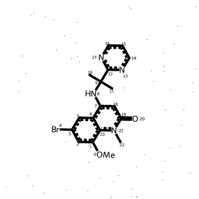 COc1cc(Br)cc2c(NC(C)(C)c3ncccn3)cc(=O)n(C)c12